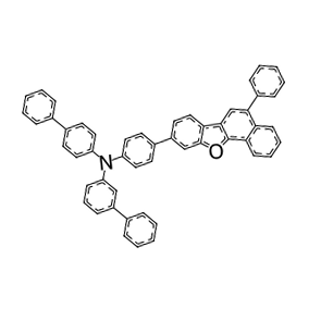 c1ccc(-c2ccc(N(c3ccc(-c4ccc5c(c4)oc4c6ccccc6c(-c6ccccc6)cc54)cc3)c3cccc(-c4ccccc4)c3)cc2)cc1